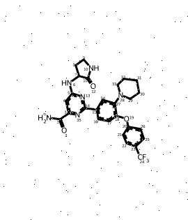 NC(=O)c1cc(NC2CCNC2=O)nc(-c2ccc(Oc3ccc(C(F)(F)F)cc3)c(N3CCCCC3)c2)n1